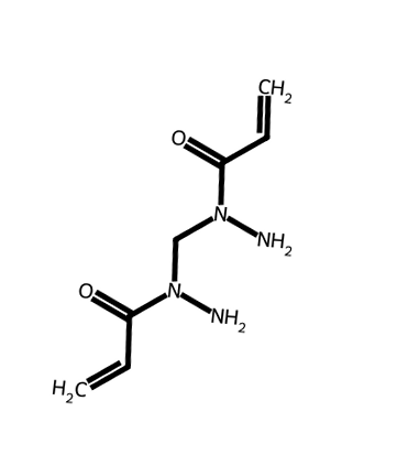 C=CC(=O)N(N)CN(N)C(=O)C=C